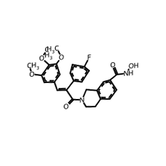 COc1cc(C=C(C(=O)N2CCc3ccc(C(=O)NO)cc3C2)c2ccc(F)cc2)cc(OC)c1OC